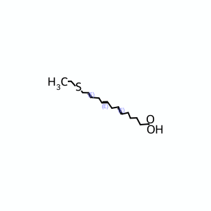 CCCSC/C=C/C/C=C/C/C=C/CCCCC(=O)O